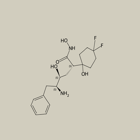 N[C@@H](Cc1ccccc1)[C@@H](O)C[C@H](C(=O)NO)C1(O)CCC(F)(F)CC1